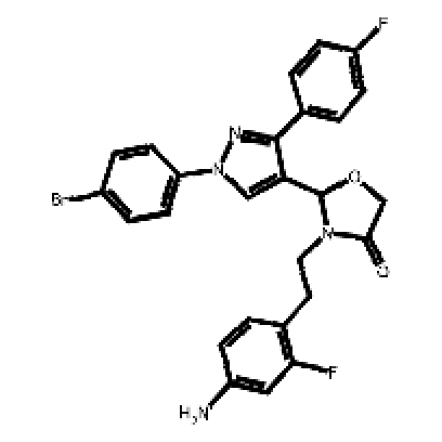 Nc1ccc(CCN2C(=O)COC2c2cn(-c3ccc(Br)cc3)nc2-c2ccc(F)cc2)c(F)c1